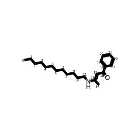 CCCCCCCCCCCCN/C(C)=C/C(=O)c1ccccc1